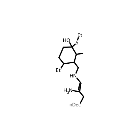 CCCCCCCCCCC/C(N)=C/NCC1C(CC)CCC(O)(SCC)C1C